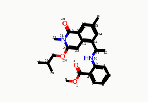 COC(=O)c1ccccc1NC(C)c1cc(C)cc2c(=O)n(C)c(OCC(C)C)cc12